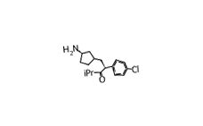 CC(C)C(=O)[C@@H](CC1CC[C@@H](N)C1)c1ccc(Cl)cc1